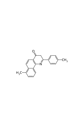 Cc1ccc(C2=Nc3c(ccc4c(C)cccc34)C(=O)C2)cc1